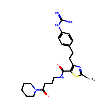 CC(=O)Nc1nc(CCc2ccc(NC(=N)N)cc2)c(C(=O)NCCCC(=O)N2CCCCC2)s1